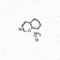 C1=Cc2ccccc2OC1.N.[Fe].[Mo].[Ni]